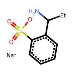 CCC(N)c1ccccc1S(=O)(=O)[O-].[Na+]